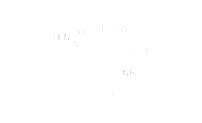 CC(=O)Nc1ccc(S(N)(=O)=O)c(Cl)c1C(=O)O